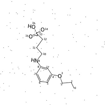 CCCOc1cccc(NCCCS(=O)(=O)O)c1